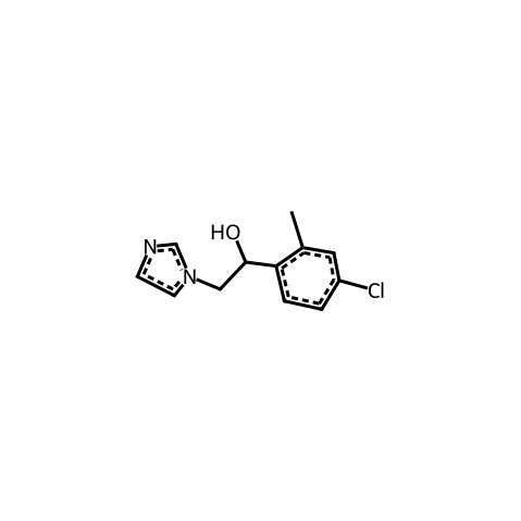 Cc1cc(Cl)ccc1C(O)Cn1ccnc1